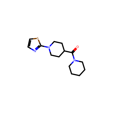 O=C(C1CCN(c2nccs2)CC1)N1CCCCC1